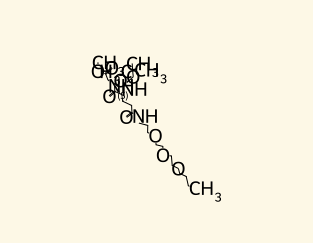 CCCCOCCOCCOCCCNC(=O)CC[C@H](NC(=O)OC(C)(C)C)C(=O)NCC(=O)OC